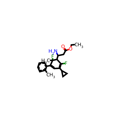 CCOC(=O)CC(N)C1C(F)=C(C2CC2)C=C(c2ccccc2C)C1(C)F